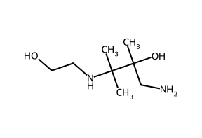 CC(O)(CN)C(C)(C)NCCO